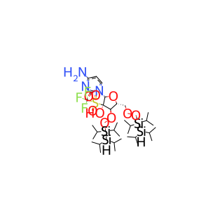 CC(C)[SiH](C(C)C)[Si](OOC[C@H]1O[C@@H](n2ccc(N)nc2=O)[C@](O)(S(=O)(=O)C(F)(F)F)[C@@H]1OO[Si](C(C)C)(C(C)C)[SiH](C(C)C)C(C)C)(C(C)C)C(C)C